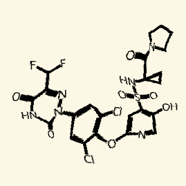 O=C(N1CCCC1)C1(NS(=O)(=O)c2cc(Oc3c(Cl)cc(-n4nc(C(F)F)c(=O)[nH]c4=O)cc3Cl)ncc2O)CC1